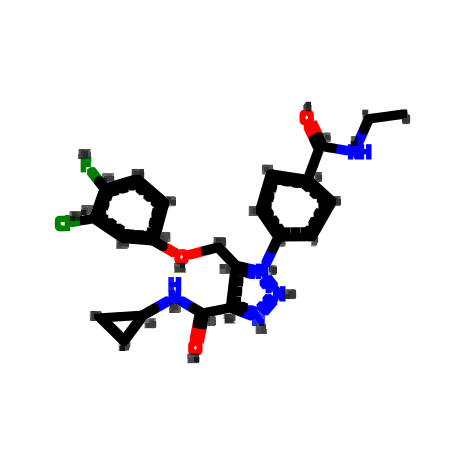 CCNC(=O)c1ccc(-n2nnc(C(=O)NC3CC3)c2COc2ccc(F)c(Cl)c2)cc1